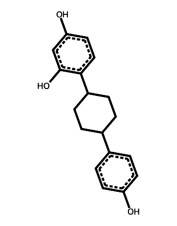 Oc1ccc(C2CCC(c3ccc(O)cc3O)CC2)cc1